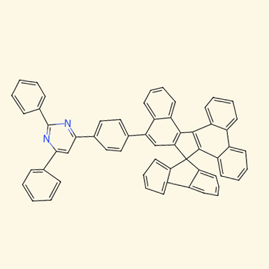 c1ccc(-c2cc(-c3ccc(-c4cc5c(c6ccccc46)-c4c(c6ccccc6c6ccccc46)C54c5ccccc5-c5ccccc54)cc3)nc(-c3ccccc3)n2)cc1